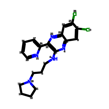 Clc1cc2nc(NCCCN3CCCC3)c(-c3ccccn3)nc2cc1Cl